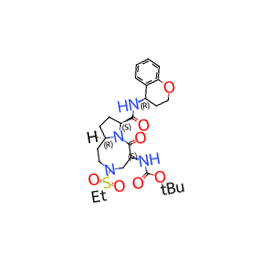 CCS(=O)(=O)N1CC[C@H]2CC[C@@H](C(=O)N[C@@H]3CCOc4ccccc43)N2C(=O)[C@@H](NC(=O)OC(C)(C)C)C1